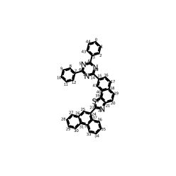 c1ccc(-c2nc(-c3ccccc3)nc(-c3ccc4ccc5nc(-c6cc7ccccc7c7ccccc67)sc5c4c3)n2)cc1